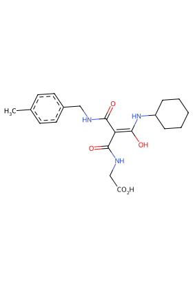 Cc1ccc(CNC(=O)/C(C(=O)NCC(=O)O)=C(/O)NC2CCCCC2)cc1